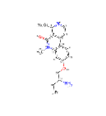 COc1nccc2c1c(=O)n(C)c1cc(OCC(N)CC(C)C)ccc21